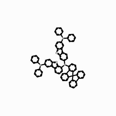 c1ccc(N(c2ccccc2)c2ccc3oc4cc(N(c5cccc6c5-c5ccccc5C65c6ccccc6-c6ccccc65)c5cccc6c5oc5ccc(N(c7ccccc7)c7ccccc7)cc56)ccc4c3c2)cc1